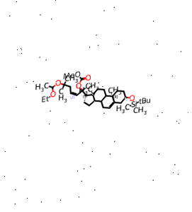 CCOC(C)OC(C)(C)C/C=C\[C@](C)(OC(=O)OC)[C@H]1CCC2C3CC=C4CC(O[Si](C)(C)C(C)(C)C)CC[C@]4(C)C3CC[C@@]21C